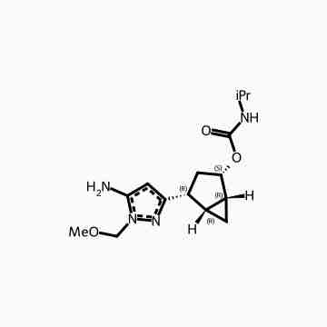 COCn1nc([C@@H]2C[C@H](OC(=O)NC(C)C)[C@@H]3C[C@@H]32)cc1N